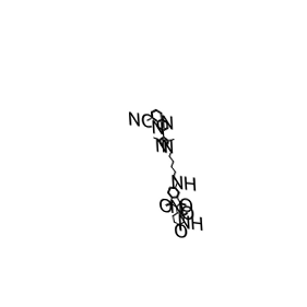 Cc1nn(CCCCCCNc2ccc3c(c2)C(=O)N(C2CCC(=O)NC2=O)C3=O)c(C)c1-c1cnc2cccc(C#N)c2n1